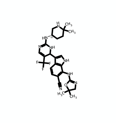 CC1(C)CC[C@H](NC2=NC=C(C(F)(F)F)C(c3c[nH]c4c(NC5=NCC(C)(C)O5)c(C#N)ccc34)N2)CN1